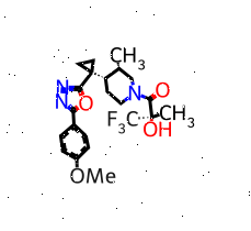 COc1ccc(-c2nnc(C3([C@H]4CCN(C(=O)[C@@](C)(O)C(F)(F)F)C[C@H]4C)CC3)o2)cc1